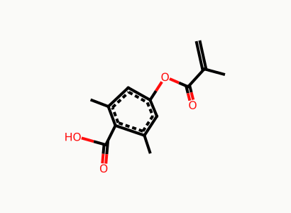 C=C(C)C(=O)Oc1cc(C)c(C(=O)O)c(C)c1